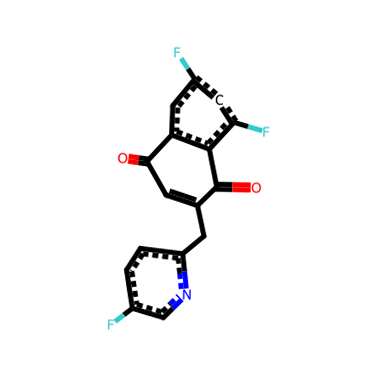 O=C1C=C(Cc2ccc(F)cn2)C(=O)c2c(F)cc(F)cc21